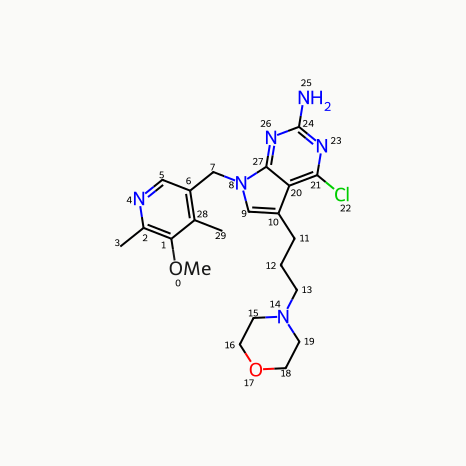 COc1c(C)ncc(Cn2cc(CCCN3CCOCC3)c3c(Cl)nc(N)nc32)c1C